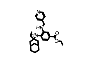 CCOC(=O)c1ccc(NC2(CC)CC3CCCC(C3)C2)c(NCc2ccncc2)c1